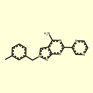 Cc1cccc(Cn2cc3c(N)nc(-c4cnccn4)nc3n2)c1